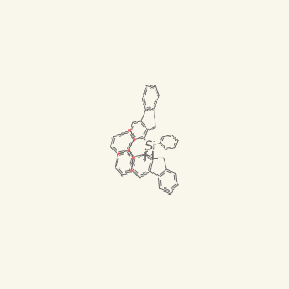 c1ccc(-c2ccc3c(c2[SiH](c2ccccc2)c2c(-c4ccccc4)ccc4c2Cc2ccccc2-4)Cc2ccccc2-3)cc1